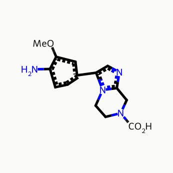 COc1cc(-c2cnc3n2CCN(C(=O)O)C3)ccc1N